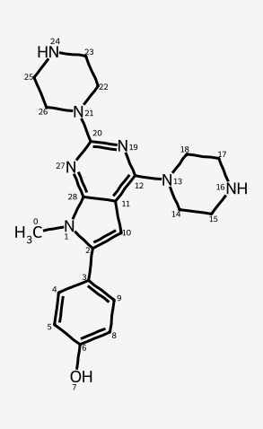 Cn1c(-c2ccc(O)cc2)cc2c(N3CCNCC3)nc(N3CCNCC3)nc21